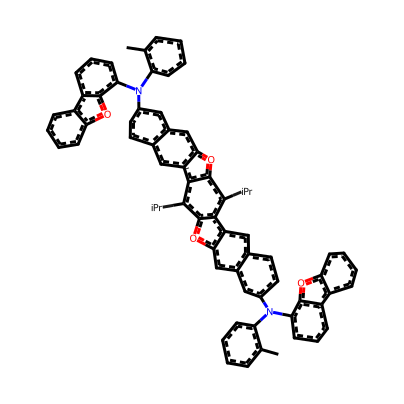 Cc1ccccc1N(c1ccc2cc3c(cc2c1)oc1c(C(C)C)c2c(oc4cc5cc(N(c6ccccc6C)c6cccc7c6oc6ccccc67)ccc5cc42)c(C(C)C)c13)c1cccc2c1oc1ccccc12